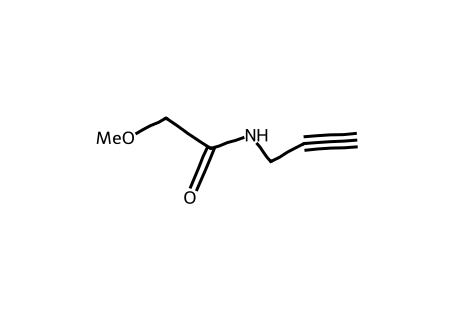 C#CCNC(=O)COC